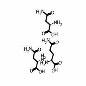 NC(=O)CC[C@H](N)C(=O)O.NC(=O)C[C@H](N)C(=O)O.NC(=O)C[C@H](N)C(=O)O